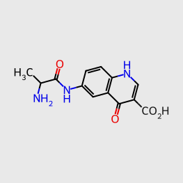 CC(N)C(=O)Nc1ccc2[nH]cc(C(=O)O)c(=O)c2c1